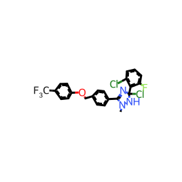 CN1NC(Cl)(c2c(F)cccc2Cl)N=C1c1ccc(COc2ccc(C(F)(F)F)cc2)cc1